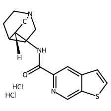 Cl.Cl.O=C(N[C@H]1CN2CCC1CC2)c1cc2ccsc2cn1